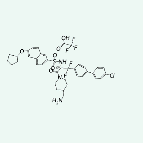 NCC1CCN(C(=O)[C@H](NS(=O)(=O)c2ccc3cc(OC4CCCC4)ccc3c2)C(F)(F)c2ccc(-c3ccc(Cl)cc3)cc2)CC1.O=C(O)C(F)(F)F